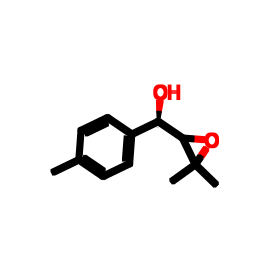 Cc1ccc([C@@H](O)C2OC2(C)C)cc1